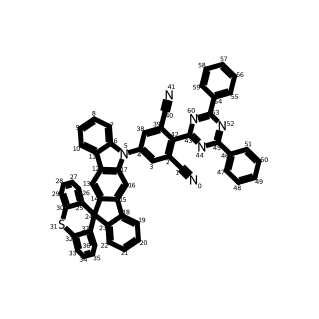 N#Cc1cc(-n2c3ccccc3c3cc4c(cc32)-c2ccccc2C42c3ccccc3Sc3ccccc32)cc(C#N)c1-c1nc(-c2ccccc2)nc(-c2ccccc2)n1